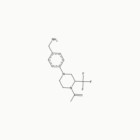 C=C(C)N1CCN(c2ccc(CN)cc2)CC1C(F)(F)F